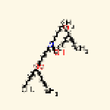 C=C(CCCCCCCN(CCO)CCCCCCCC(=O)OC(CCCCCCCC)CCCCCCCC)OCCC(CCCCC)CCCCC